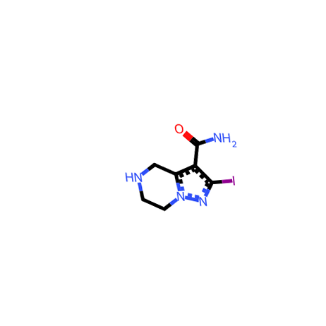 NC(=O)c1c(I)nn2c1CNCC2